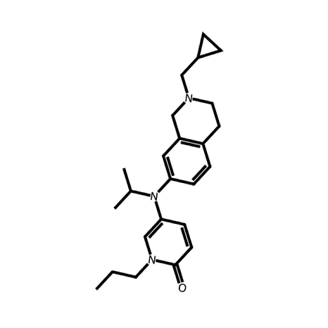 CCCn1cc(N(c2ccc3c(c2)CN(CC2CC2)CC3)C(C)C)ccc1=O